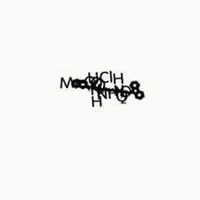 COC(=O)[C@H](Cc1ccc2ccccc2c1)NC(=O)[C@@H](N)CCCCNC(=O)OCC1c2ccccc2-c2ccccc21.Cl